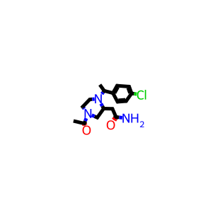 CC(=O)N1CCN(C(C)c2ccc(Cl)cc2)C(CC(N)=O)C1